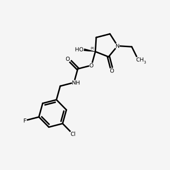 CCN1CC[C@@](O)(OC(=O)NCc2cc(F)cc(Cl)c2)C1=O